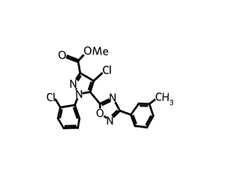 COC(=O)c1nn(-c2ccccc2Cl)c(-c2nc(-c3cccc(C)c3)no2)c1Cl